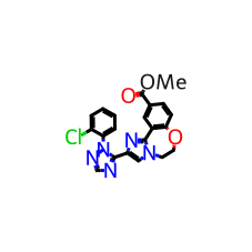 COC(=O)c1ccc2c(c1)-c1nc(-c3ncnn3-c3ccccc3Cl)cn1CCO2